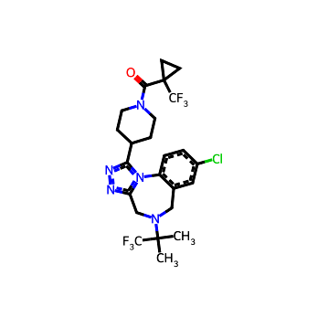 CC(C)(N1Cc2cc(Cl)ccc2-n2c(nnc2C2CCN(C(=O)C3(C(F)(F)F)CC3)CC2)C1)C(F)(F)F